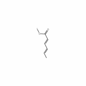 C/C=C/C=C/C(=O)OI